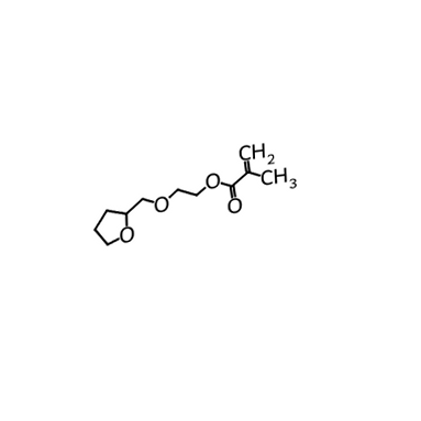 C=C(C)C(=O)OCCOCC1CCCO1